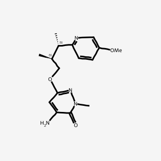 COc1ccc([C@@H](C)[C@H](C)COc2cc(N)c(=O)n(C)n2)nc1